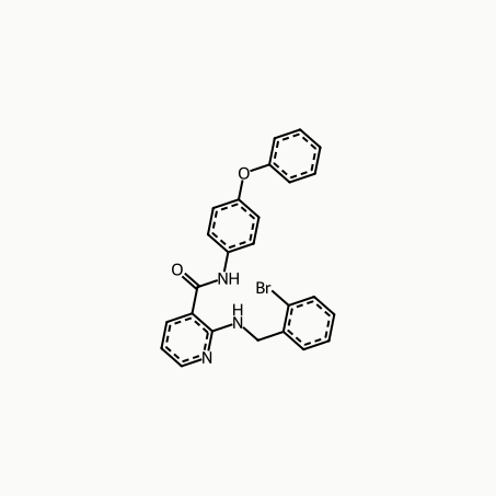 O=C(Nc1ccc(Oc2ccccc2)cc1)c1cccnc1NCc1ccccc1Br